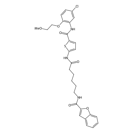 COCCOc1ccc(Cl)cc1NC(=O)c1ccc(NC(=O)CCCCCNC(=O)c2cc3ccccc3o2)s1